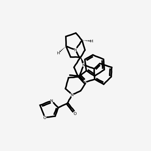 Cc1nc2ccccc2n1[C@H]1C[C@H]2CC[C@@H](C1)N2CCC1(c2ccccc2)CCN(C(=O)c2cocn2)CC1